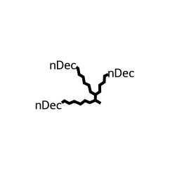 CCCCCCCCCCCCCCCCC(C)C(CCCCCCCCCCCCCC)CCCCCCCCCCCCCCCC